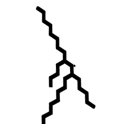 CCCCCCCCC([CH]C(CCCCC)CCCCCCCC)CCCC